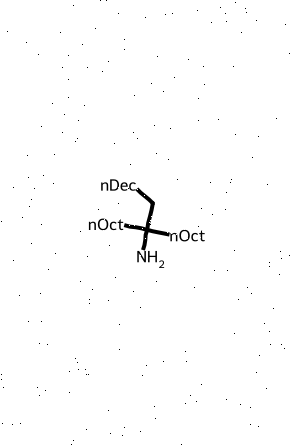 CCCCCCCCCCCC(N)(CCCCCCCC)CCCCCCCC